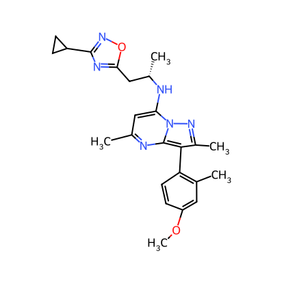 COc1ccc(-c2c(C)nn3c(N[C@@H](C)Cc4nc(C5CC5)no4)cc(C)nc23)c(C)c1